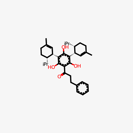 CC1=C[C@H](c2c(O)c(C(=O)CCc3ccccc3)c(O)c([C@H]3C=C(C)CC[C@H]3C(C)C)c2O)[C@H](C(C)C)CC1